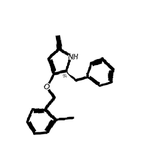 C=C1C=C(OCc2ccccc2C)[C@H](Cc2ccccc2)N1